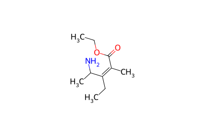 CCOC(=O)C(C)=C(CC)C(C)N